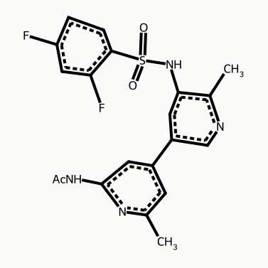 CC(=O)Nc1cc(-c2cnc(C)c(NS(=O)(=O)c3ccc(F)cc3F)c2)cc(C)n1